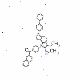 C=Cc1c(/C=C\C)n(-c2ccc(C(=O)c3ccc4ccccc4c3)cc2)c2c1ccc1c2ccn1-c1ccc(-c2ccccc2)cc1